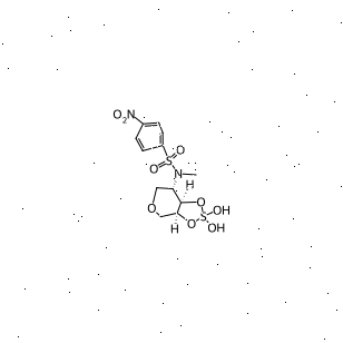 CN([C@H]1COC[C@@H]2OS(O)(O)O[C@@H]21)S(=O)(=O)c1ccc([N+](=O)[O-])cc1